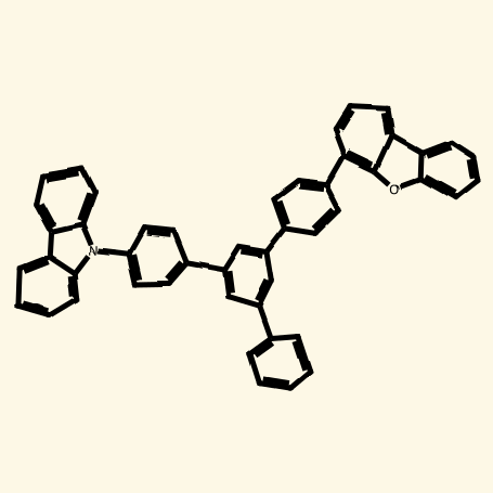 c1ccc(-c2cc(-c3ccc(-c4cccc5c4oc4ccccc45)cc3)cc(-c3ccc(-n4c5ccccc5c5ccccc54)cc3)c2)cc1